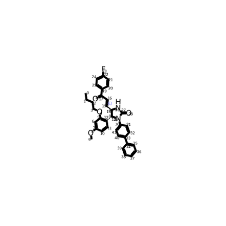 CCCCOc1cc(OC)ccc1[C@@H]1[C@@H](/C=C/C(=O)c2ccc(F)cc2)NC(=O)N1c1ccc(-c2ccccc2)cc1